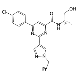 CC(C)Cn1cc(-c2nc(C(=O)N[C@@H](C)CO)cc(-c3ccc(Cl)cc3)n2)cn1